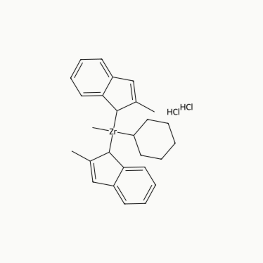 CC1=Cc2ccccc2[CH]1[Zr]([CH3])([CH]1CCCCC1)[CH]1C(C)=Cc2ccccc21.Cl.Cl